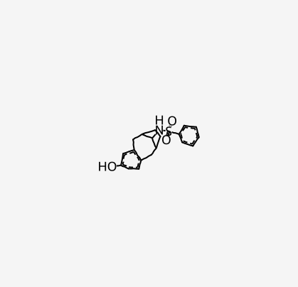 O=S(=O)(NC1C2CCC1Cc1cc(O)ccc1C2)c1ccccc1